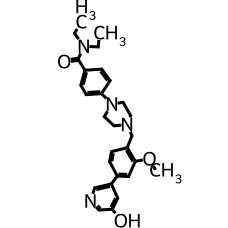 CCN(CC)C(=O)c1ccc(N2CCN(Cc3ccc(-c4cncc(O)c4)cc3OC)CC2)cc1